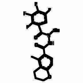 Cc1c(C(=O)NN(C(=O)c2cc(F)c(F)c(F)c2F)C(C)(C)C)ccc2c1CCCO2